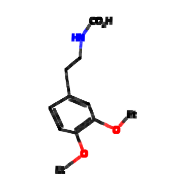 CCOc1ccc(CCNC(=O)O)cc1OCC